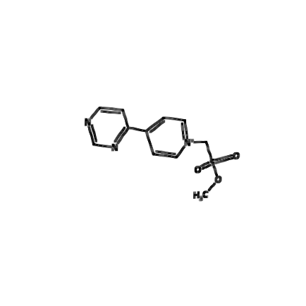 COS(=O)(=O)C[n+]1ccc(-c2ccncn2)cc1